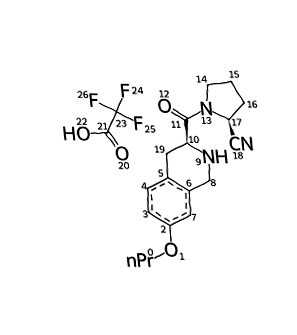 CCCOc1ccc2c(c1)CN[C@H](C(=O)N1CCC[C@H]1C#N)C2.O=C(O)C(F)(F)F